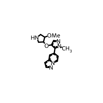 COC1CNCC1Oc1cnn(C)c1-c1ccn2nccc2c1